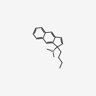 CCCC[C]1([Hf]([CH3])[CH3])C=Cc2cc3ccccc3cc21